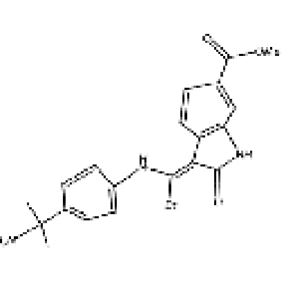 CCC(Nc1ccc(C(C)(C)N)cc1)=C1C(=O)Nc2cc(C(=O)OC)ccc21